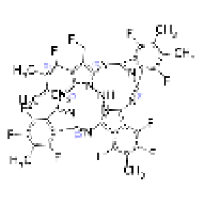 C=C(C)/C(C)=C(/F)c1c(CF)/c2n3/c1=N\C1=NC(=N\c4c5c(F)c(C)c(F)c(F)c5c(n4N3)/N=C3N=C(/N=2)c2c(F)c(C)c(C)c(F)c2\3)/c2c(F)c(C)c(F)c(F)c21